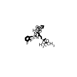 CC1(C)OC[C@@H](CCc2cc(NS(=O)(=O)N3CCC3)nc(SCc3cccc(F)c3F)n2)O1